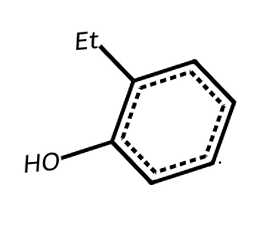 CCc1cc[c]cc1O